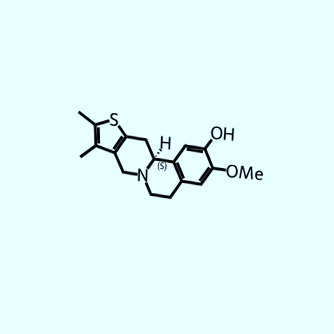 COc1cc2c(cc1O)[C@@H]1Cc3sc(C)c(C)c3CN1CC2